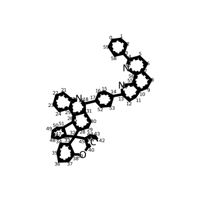 c1ccc(-c2ccc3ccc4ccc(-c5ccc(-c6nc7ccccc7c7c8c(ccc67)C6(c7ccccc7Oc7ccccc76)c6ccccc6-8)cc5)nc4c3n2)cc1